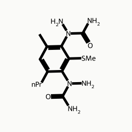 CCCc1cc(C)c(N(N)C(N)=O)c(SC)c1N(N)C(N)=O